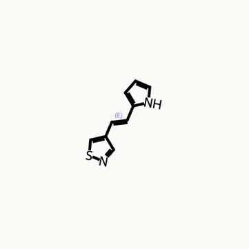 C(=C\c1ccc[nH]1)/c1cnsc1